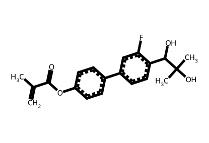 C=C(C)C(=O)Oc1ccc(-c2ccc(C(O)C(C)(C)O)c(F)c2)cc1